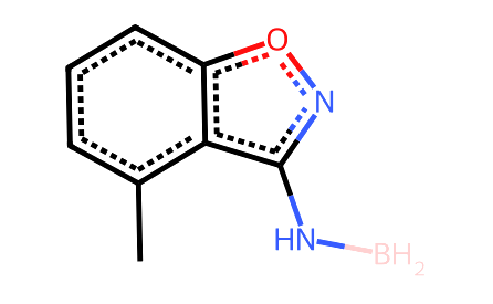 BNc1noc2cccc(C)c12